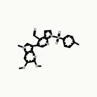 COc1cc2c(nc1OC)c(-c1cnc3c(ccn3S(=O)(=O)c3ccc(C)cc3)c1C=O)cn2C